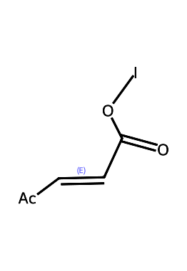 CC(=O)/C=C/C(=O)OI